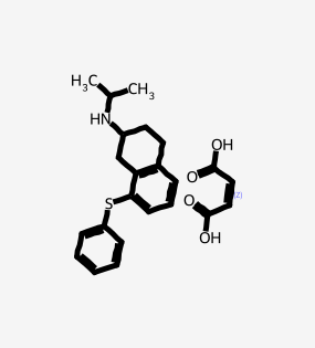 CC(C)NC1CCc2cccc(Sc3ccccc3)c2C1.O=C(O)/C=C\C(=O)O